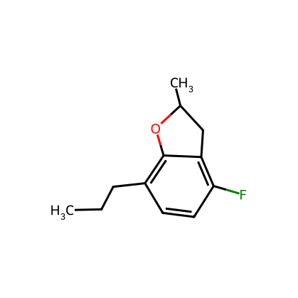 CCCc1ccc(F)c2c1OC(C)C2